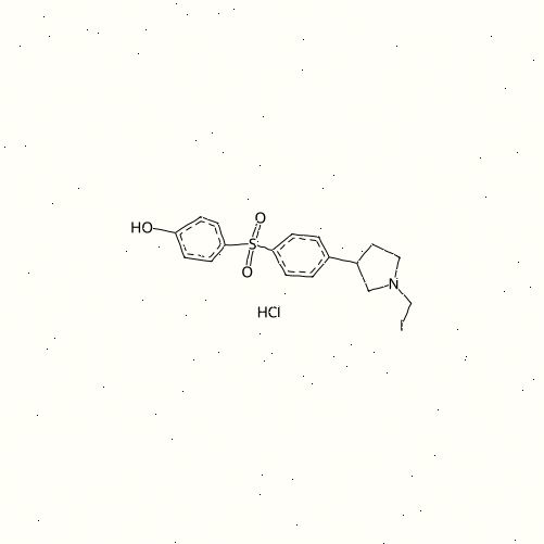 Cl.O=S(=O)(c1ccc(O)cc1)c1ccc(C2CCN(CI)C2)cc1